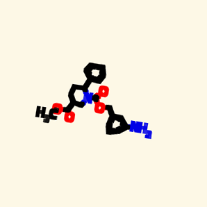 COC(=O)C1CCC(c2ccccc2)N(C(=O)OCc2cccc(N)c2)C1